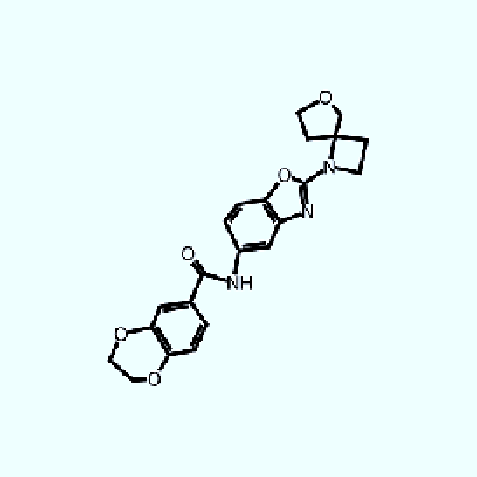 O=C(Nc1ccc2oc(N3CCC34CCOC4)nc2c1)c1ccc2c(c1)OCCO2